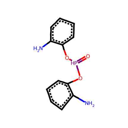 Nc1ccccc1O[PH](=O)Oc1ccccc1N